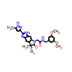 COc1cc(CNC(=O)CN2C(=O)C(C)(C)c3cc4nc(-c5cc(C)[nH]n5)[nH]c4cc32)cc(OC)c1